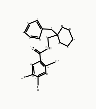 O=C(NCC1(Cc2ccccc2)CCCCC1)c1cc(F)c(F)cc1F